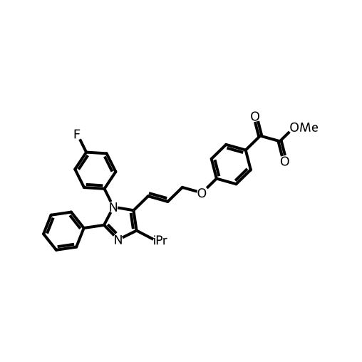 COC(=O)C(=O)c1ccc(OCC=Cc2c(C(C)C)nc(-c3ccccc3)n2-c2ccc(F)cc2)cc1